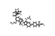 COc1cc(C(=O)N2C[C@H]3CC[C@@H]2[C@@H]3N)cc2nc(-c3cc4ccc(-c5ccc(S(N)(=O)=O)cc5)cc4n3CC3CC3)n(C)c12